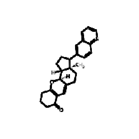 C[C@]12CCC3=CC4=C(CCCC4=O)O[C@H]3[C@@H]1CCC2c1ccc2ncccc2c1